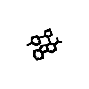 CC(C)=c1ccc2c(c1C1=C(c3ccc(C)cc3)C=CC1)[C]=c1ccccc1=2